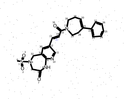 CS(=O)(=O)N1CC(=O)Nc2ncc(/C=C/C(=O)N3CCC=C(c4ccccc4)CC3)cc2C1